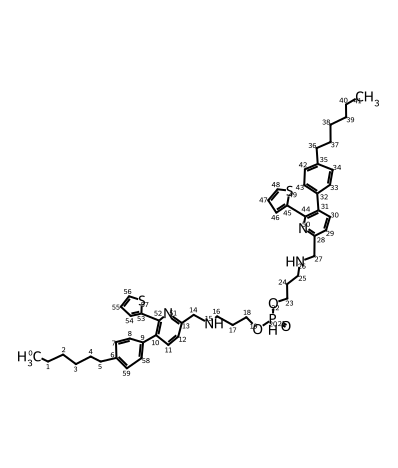 CCCCCCc1ccc(-c2ccc(CNCCCO[PH](=O)OCCCNCc3ccc(-c4ccc(CCCCCC)cc4)c(-c4cccs4)n3)nc2-c2cccs2)cc1